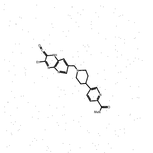 CCC1=Nc2ncc(CN3CCC(c4ccc(C(=O)NC)nc4)CC3)cc2NC1=C=O